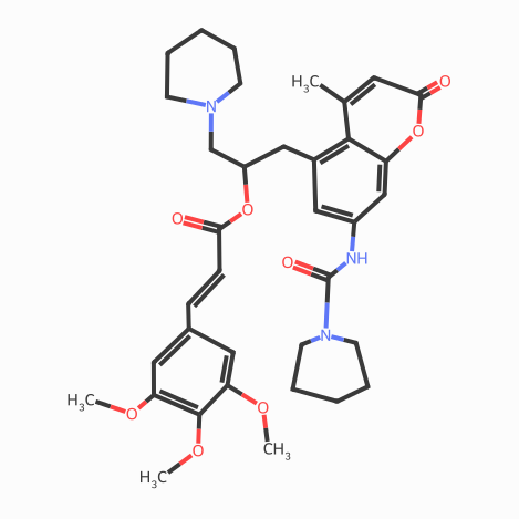 COc1cc(C=CC(=O)OC(Cc2cc(NC(=O)N3CCCCC3)cc3oc(=O)cc(C)c23)CN2CCCCC2)cc(OC)c1OC